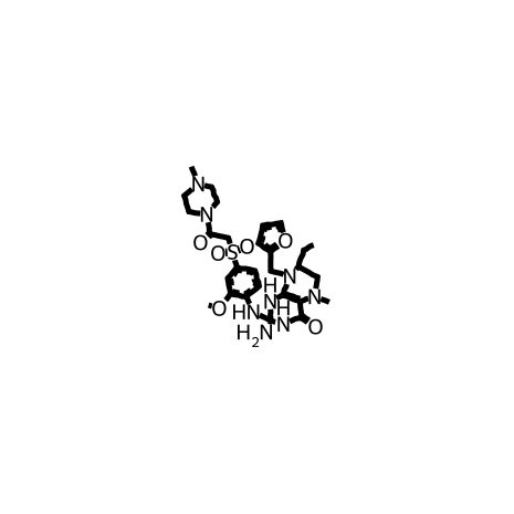 CCC1CN(C)C2=C(N[C@@](N)(Nc3ccc(S(=O)(=O)CC(=O)N4CCN(C)CC4)cc3OC)NC2=O)N1Cc1ccco1